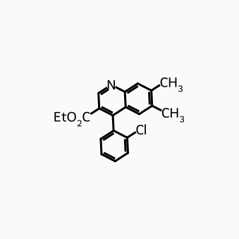 CCOC(=O)c1cnc2cc(C)c(C)cc2c1-c1ccccc1Cl